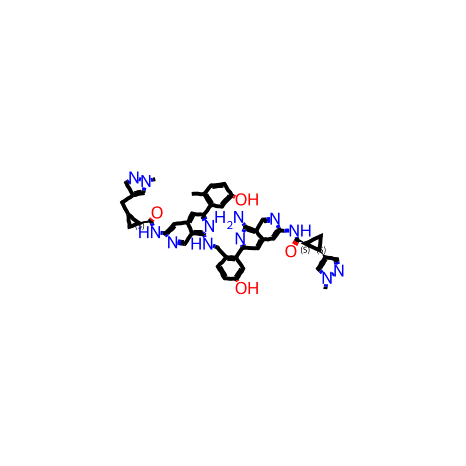 Cc1ccc(O)cc1-c1cc2cc(NC(=O)[C@H]3CC3Cc3cnn(C)c3)ncc2c(NCc2ccc(O)cc2-c2cc3cc(NC(=O)[C@H]4C[C@@H]4c4cnn(C)c4)ncc3c(N)n2)n1